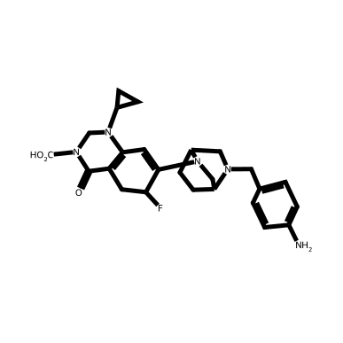 Nc1ccc(CN2CC3CCC2CN3C2=CC3=C(CC2F)C(=O)N(C(=O)O)CN3C2CC2)cc1